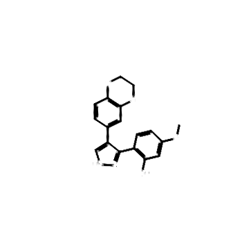 COc1ccc(-c2n[nH]cc2-c2ccc3c(c2)OCCO3)c(O)c1